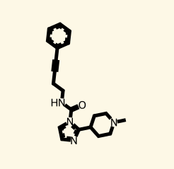 CN1CCC(c2nccn2C(=O)NCCC#Cc2ccccc2)CC1